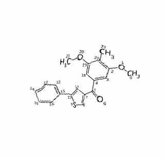 COc1cc(C(=O)c2csc(-c3ccccc3)c2)cc(OC)c1C